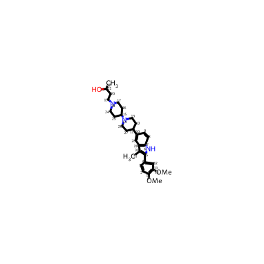 COc1ccc(-c2[nH]c3ccc(C4CCN(C5CCN(CCC(C)O)CC5)CC4)cc3c2C)cc1OC